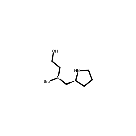 CC(C)(C)N(CCO)C[C@@H]1CCCN1